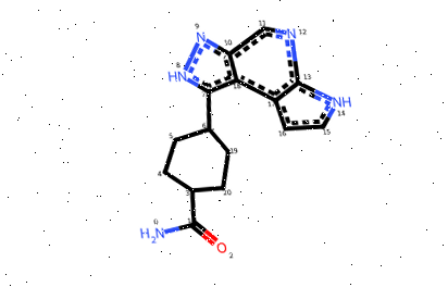 NC(=O)C1CC[C](c2[nH]nc3cnc4[nH]ccc4c23)CC1